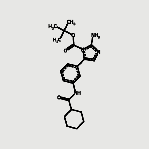 CC(C)(C)OC(=O)n1c(-c2cccc(NC(=O)C3CCCCC3)c2)cnc1N